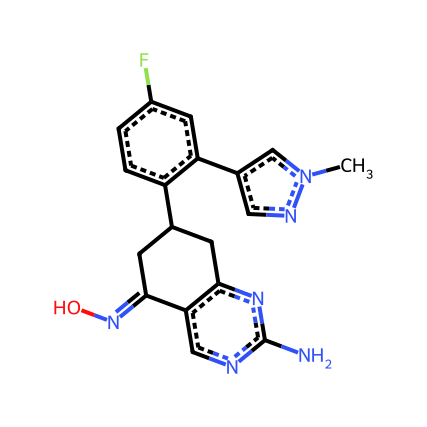 Cn1cc(-c2cc(F)ccc2C2CC(=NO)c3cnc(N)nc3C2)cn1